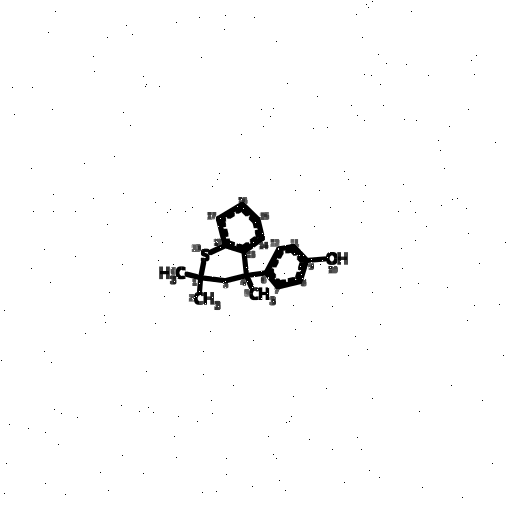 CC1(C)CC(C)(c2ccc(O)cc2)c2ccccc2S1